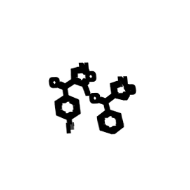 Cc1oncc1C(=O)c1ccc(F)cc1.O=C(c1ccccc1)c1cnoc1